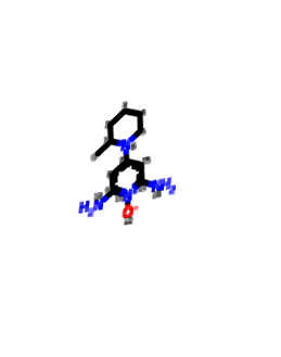 CC1CCCCN1c1cc(N)[n+]([O-])c(N)c1